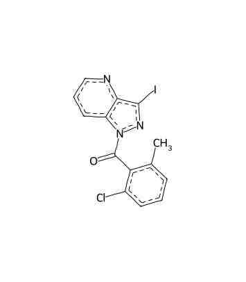 Cc1cccc(Cl)c1C(=O)n1nc(I)c2ncccc21